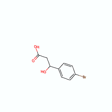 O=C(O)CC(O)c1ccc(Br)cc1